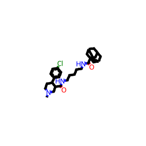 CN1CCC(c2ccc(Cl)cc2)C(C(=O)NCCCCCNC(=O)C23CC4CC(CC(C4)C2)C3)C1